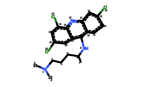 CCN(CC)CCCC(C)Nc1c2ccc(Cl)cc2nc2c(Cl)cc(Cl)cc12